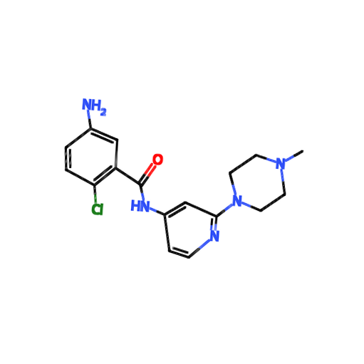 CN1CCN(c2cc(NC(=O)c3cc(N)ccc3Cl)ccn2)CC1